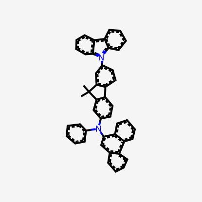 CC1(C)c2cc(N(c3ccccc3)c3cc4ccccc4c4ccccc34)ccc2-c2ccc(-n3c4ccccc4c4ccccc43)cc21